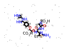 CCc1sc(N)nc1/C(=N/OC(COc1ccc(C(=N)NC2CNC2)cc1)C(=O)O)C(=O)N[C@@H]1C(=O)N(S(=O)(=O)O)[C@H]1C